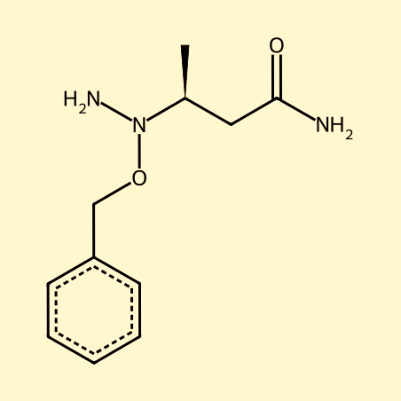 C[C@@H](CC(N)=O)N(N)OCc1ccccc1